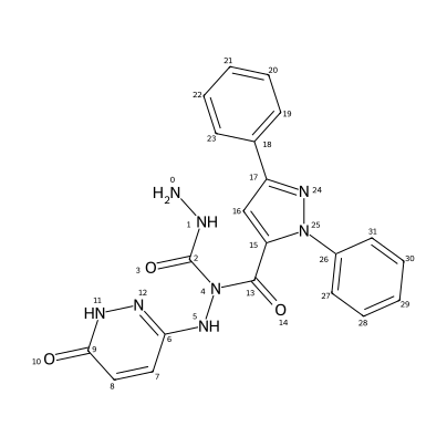 NNC(=O)N(Nc1ccc(=O)[nH]n1)C(=O)c1cc(-c2ccccc2)nn1-c1ccccc1